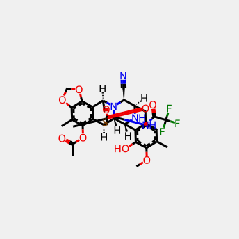 COc1c(C)cc2c(c1O)[C@H]1N[C@H](C2)[C@H](C#N)N2[C@H]1[C@@H]1SCC(NC(=O)C(F)(F)F)C(=O)OC[C@H]2c2c3c(c(C)c(OC(C)=O)c21)OCO3